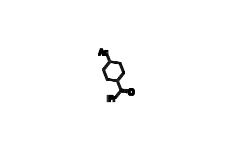 CC(=O)C1CCC(C(=O)C(C)C)CC1